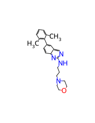 Cc1cccc(C)c1-c1ccc2nc(NCCCN3CCOCC3)ncc2c1